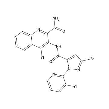 NC(=O)c1nc2ccccc2c(Cl)c1NC(=O)c1cc(Br)nn1-c1ncccc1Cl